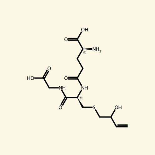 C=CC(O)CSC[C@H](NC(=O)CC[C@H](N)C(=O)O)C(=O)NCC(=O)O